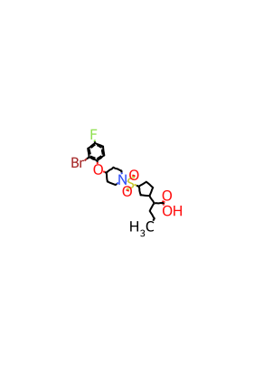 CCCC(C(=O)O)C1CCC(S(=O)(=O)N2CCC(Oc3ccc(F)cc3Br)CC2)C1